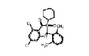 Cc1cccc(C)c1C(=O)P(=O)(C(=O)c1c(Cl)cc(Cl)cc1Cl)C1CCCCC1